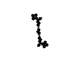 Cc1ccc(N(c2ccc([Si](c3ccccc3)(c3ccccc3)c3ccccc3)cc2)c2ccc3c(c2)C(C)(C)c2cc(/C=C/c4ccc5c(c4)C(C)(C)c4cc(/C=C/c6ccc7c(c6)C(C)(C)c6cc(N(c8ccc(C)cc8)c8ccc([Si](c9ccccc9)(c9ccccc9)c9ccccc9)cc8)ccc6-7)ccc4-5)ccc2-3)cc1